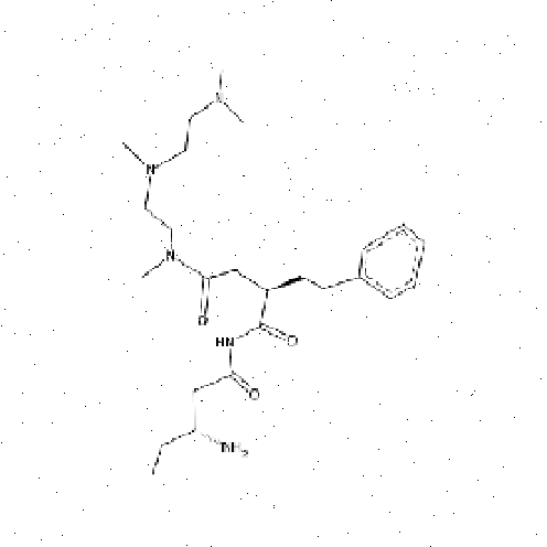 CC[C@@H](N)CC(=O)NC(=O)[C@H](CCc1ccccc1)CC(=O)N(C)CCN(C)CCN(C)C